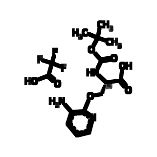 CC(C)(C)OC(=O)N[C@@H](COc1ncccc1N)C(=O)O.O=C(O)C(F)(F)F